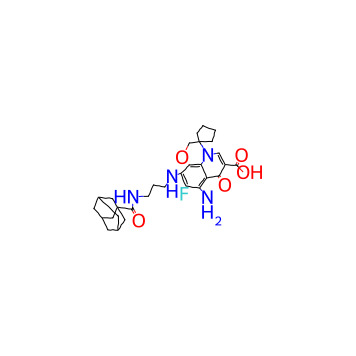 Nc1c(F)c(NCCCNC(=O)C23CC4CC(CC(C4)C2)C3)c2c3c1c(=O)c(C(=O)O)cn3C1(CCCC1)CO2